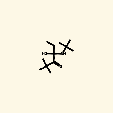 CCC(O)(NC(C)(C)C)C(=O)C(C)(C)C